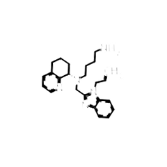 C=CCn1c(CN(CCCCN)[C@H]2CCCc3cccnc32)nc2ccccc21